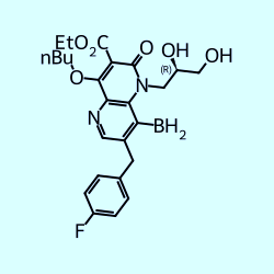 Bc1c(Cc2ccc(F)cc2)cnc2c(OCCCC)c(C(=O)OCC)c(=O)n(C[C@@H](O)CO)c12